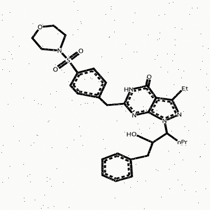 CCCC(C(O)Cc1ccccc1)n1nc(CC)c2c(=O)[nH]c(Cc3ccc(S(=O)(=O)N4CCOCC4)cc3)nc21